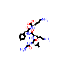 CC(C)C[C@H](NC(=O)CN)C(=O)N[C@@H](CCCCN)C(=O)N[C@@H](Cc1ccccc1)C(=O)N[C@@H](CCCCN)C(=O)O